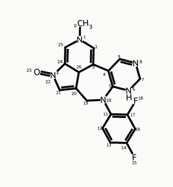 CN1C=C2C3=C(NCN=C3)N(c3ccc(F)cc3F)CC3=C[N+](=O)C(=C1)C32